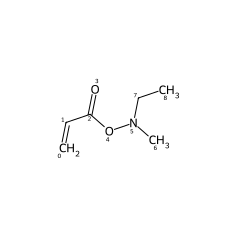 C=CC(=O)ON(C)CC